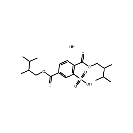 CC(C)C(C)COC(=O)c1ccc(C(=O)OCC(C)C(C)C)c(S(=O)(=O)O)c1.[LiH]